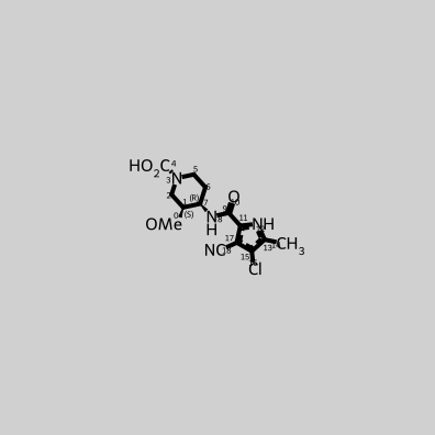 CO[C@H]1CN(C(=O)O)CC[C@H]1NC(=O)c1[nH]c(C)c(Cl)c1C#N